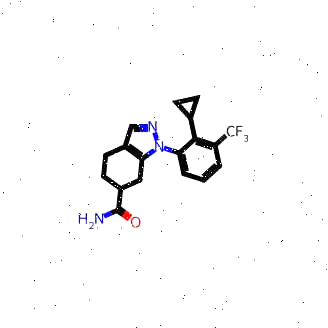 NC(=O)C1CCc2cnn(-c3cccc(C(F)(F)F)c3C3CC3)c2C1